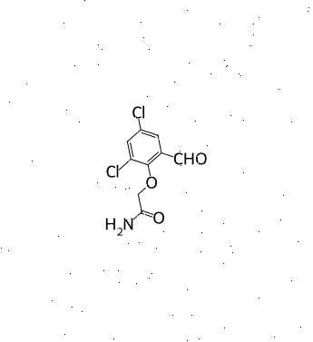 NC(=O)COc1c(Cl)cc(Cl)cc1C=O